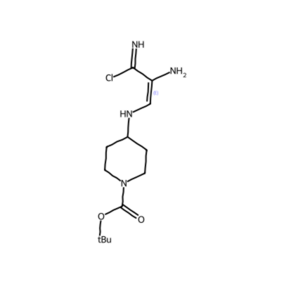 CC(C)(C)OC(=O)N1CCC(N/C=C(/N)C(=N)Cl)CC1